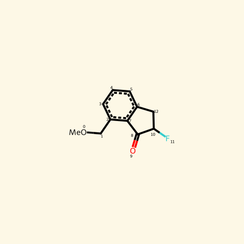 COCc1cccc2c1C(=O)C(F)C2